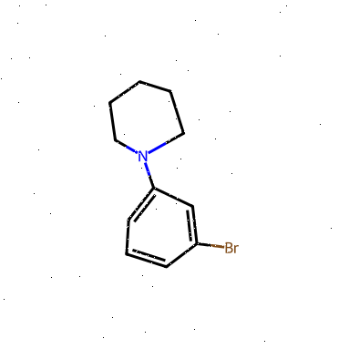 Brc1cccc(N2CCCCC2)c1